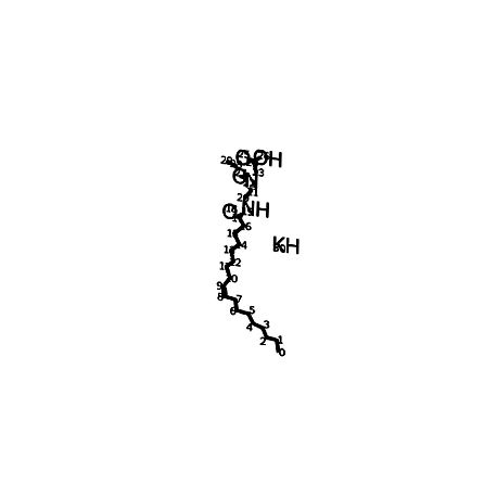 CCCCCCCC/C=C\CCCCCCCC(=O)NCCN(CC(=O)O)OCC.[KH]